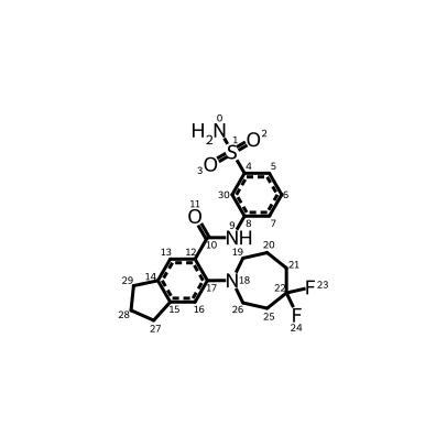 NS(=O)(=O)c1cccc(NC(=O)c2cc3c(cc2N2CCCC(F)(F)CC2)CCC3)c1